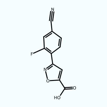 N#Cc1ccc(-c2cc(C(=O)O)on2)c(F)c1